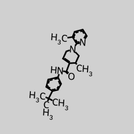 Cc1cccnc1N1CC=C(C(=O)Nc2ccc(C(C)(C)C)cc2)C(C)C1